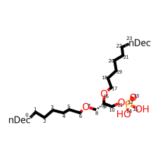 CCCCCCCCCCCCCCCCOC[C@@H](COP(=O)(O)O)OCCCCCCCCCCCCCCCC